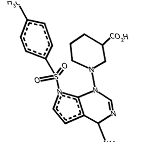 CNC1N=CN(N2CCCC(C(=O)O)C2)c2c1ccn2S(=O)(=O)c1ccc(C)cc1